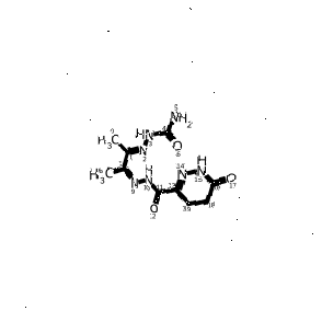 CC(=NNC(N)=O)C(C)=NNC(=O)C1=NNC(=O)CC1